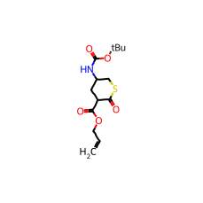 C=CCOC(=O)C1CC(NC(=O)OC(C)(C)C)CSC1=O